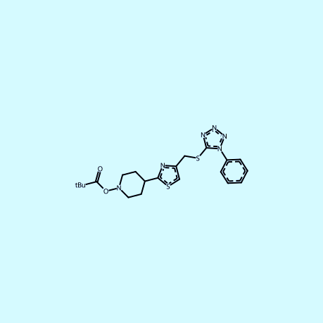 CC(C)(C)C(=O)ON1CCC(c2nc(CSc3nnnn3-c3ccccc3)cs2)CC1